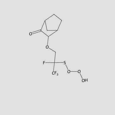 O=C1C2CCC(C2)C1OCC(F)(SOOO)C(F)(F)F